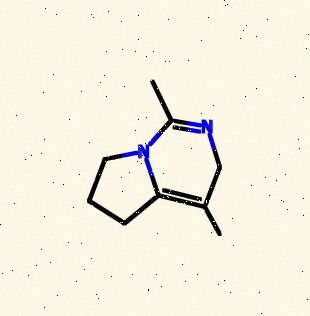 CC1=NCC(C)=C2CCCN12